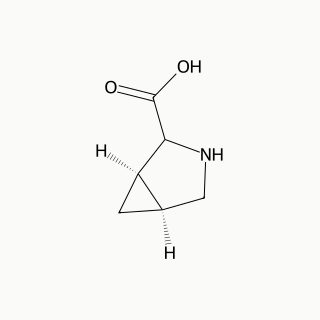 O=C(O)C1NC[C@H]2C[C@@H]12